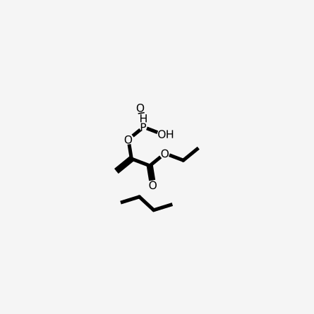 C=C(O[PH](=O)O)C(=O)OCC.CCCC